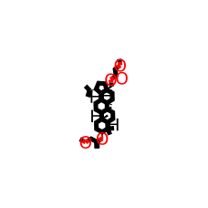 C=C(COC)O[C@H]1CC[C@]2(C)[C@H]3CC[C@@H]4[C@H]5[C@H](C(=C)C)CC[C@]5(COC(=O)COC)CC[C@@]4(C)[C@]3(C)CC[C@H]2C1(C)C